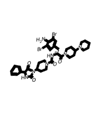 Nc1c(Br)cc(C[C@@H](NC(=O)N2CCC(N3C(=O)NC(c4ccccc4)C3=O)CC2)C(=O)N2CCC(N3CCCCC3)CC2)cc1Br